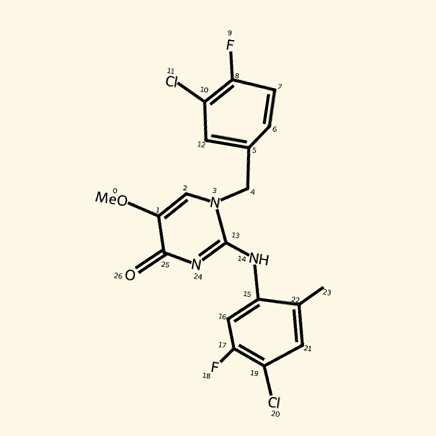 COc1cn(Cc2ccc(F)c(Cl)c2)c(Nc2cc(F)c(Cl)cc2C)nc1=O